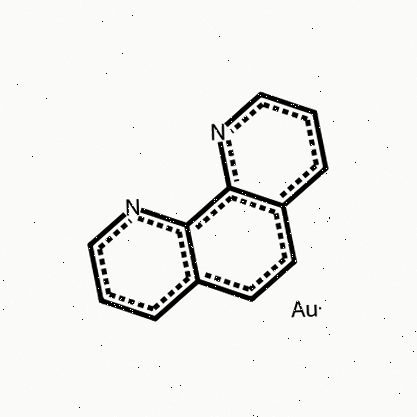 [Au].c1cnc2c(c1)ccc1cccnc12